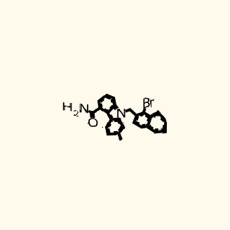 Cc1c[c]c2c3c(C(N)=O)cccc3n(Cc3ccc4ccccc4c3Br)c2c1